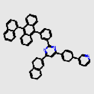 C1=CC2=C(C=C(c3cc(C4=CCC(c5cccnc5)C=C4)nc(-c4cccc(-c5c6ccccc6c(-c6cccc7ccccc67)c6ccccc56)c4)n3)CC2)CC1